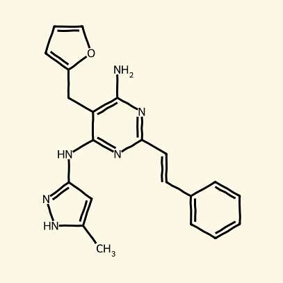 Cc1cc(Nc2nc(C=Cc3ccccc3)nc(N)c2Cc2ccco2)n[nH]1